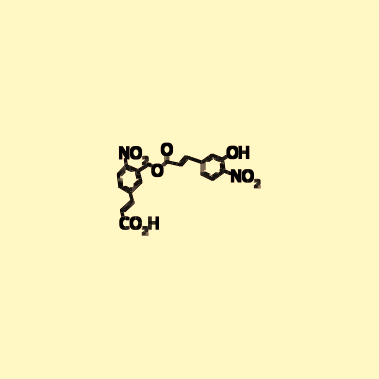 O=C(O)/C=C/c1ccc([N+](=O)[O-])c(COC(=O)/C=C/c2ccc([N+](=O)[O-])c(O)c2)c1